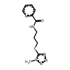 Cn1nnnc1SCCCNC(=O)c1ccccn1